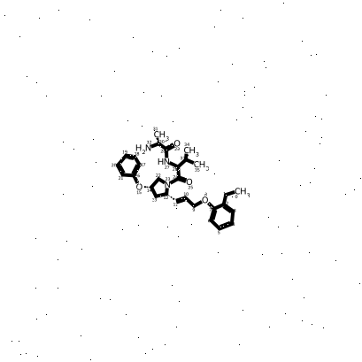 CCc1ccccc1OC/C=C/[C@@H]1C[C@H](Oc2ccccc2)CN1C(=O)C(NC(=O)[C@H](C)N)C(C)C